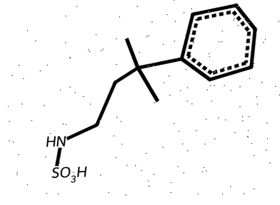 CC(C)(CCNS(=O)(=O)O)c1ccccc1